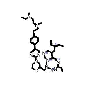 C=C/C(=C/C)CC(/C=N\C)C1=N/CN(CC2CN(c3ncc(-c4ccc(CCN(C)CCN(C)CC)cc4)cn3)CCO2)/N=N\C(CC)/N=C\1